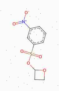 O=[N+]([O-])c1cccc(S(=O)(=O)OC2CCO2)c1